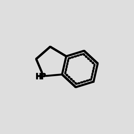 c1ccc2c(c1)CCP2